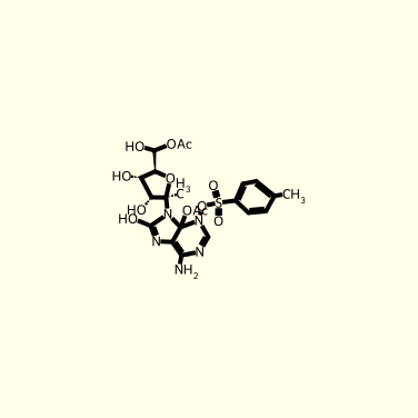 CC(=O)OC(O)[C@H]1O[C@@](C)(N2C(O)=NC3=C(N)N=CN(OS(=O)(=O)c4ccc(C)cc4)C32OC(C)=O)[C@H](O)[C@@H]1O